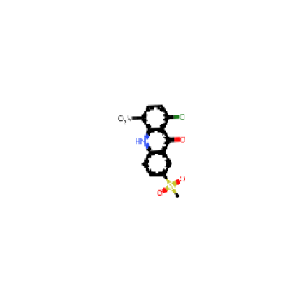 CS(=O)(=O)c1ccc2[nH]c3c([N+](=O)[O-])ccc(Cl)c3c(=O)c2c1